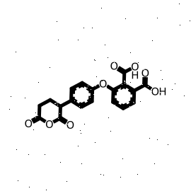 O=C1CCC(c2ccc(Oc3cccc(C(=O)O)c3C(=O)O)cc2)C(=O)O1